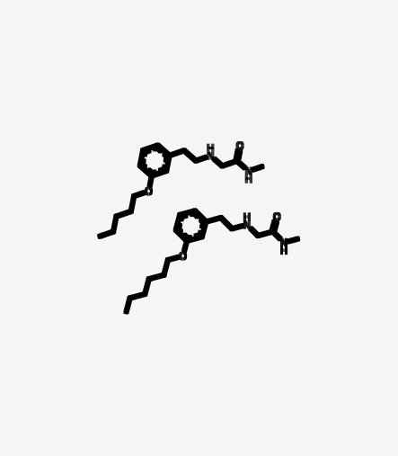 CCCCCCOc1cccc(CCNCC(=O)NC)c1.CCCCCOc1cccc(CCNCC(=O)NC)c1